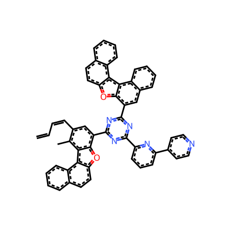 C=C/C=C\c1cc(-c2nc(-c3cccc(-c4ccncc4)n3)nc(-c3cc4ccccc4c4c3oc3ccc5ccccc5c34)n2)c2oc3ccc4ccccc4c3c2c1C